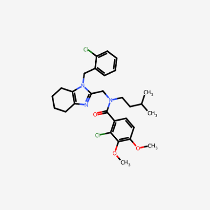 COc1ccc(C(=O)N(CCC(C)C)Cc2nc3c(n2Cc2ccccc2Cl)CCCC3)c(Cl)c1OC